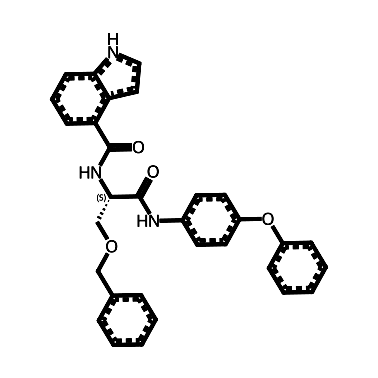 O=C(N[C@@H](COCc1ccccc1)C(=O)Nc1ccc(Oc2ccccc2)cc1)c1cccc2[nH]ccc12